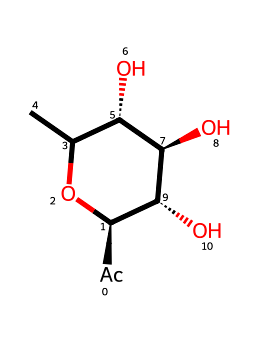 CC(=O)[C@H]1OC(C)[C@H](O)[C@@H](O)[C@@H]1O